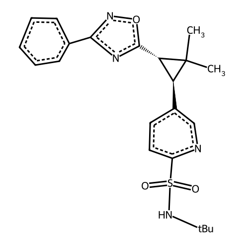 CC(C)(C)NS(=O)(=O)c1ccc([C@H]2[C@H](c3nc(-c4ccccc4)no3)C2(C)C)cn1